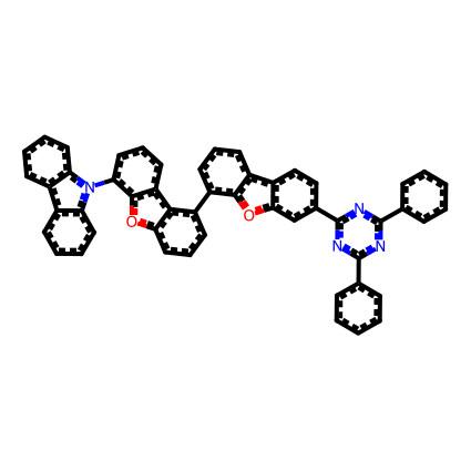 c1ccc(-c2nc(-c3ccccc3)nc(-c3ccc4c(c3)oc3c(-c5cccc6oc7c(-n8c9ccccc9c9ccccc98)cccc7c56)cccc34)n2)cc1